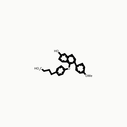 COc1ccc(-c2ccc3cc(O)ccc3c2Oc2ccc(CCCC(=O)O)cc2)cc1